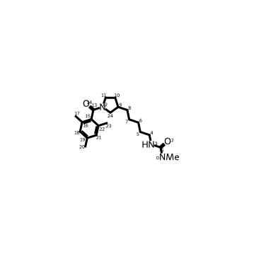 CNC(=O)NCCCCCC1CCN(C(=O)c2c(C)cc(C)cc2C)C1